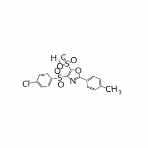 Cc1ccc(-c2nc(S(=O)(=O)c3ccc(Cl)cc3)c(S(C)(=O)=O)o2)cc1